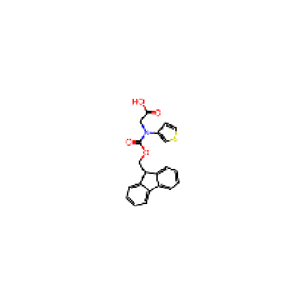 O=C(O)CN(C(=O)OCC1c2ccccc2-c2ccccc21)c1ccsc1